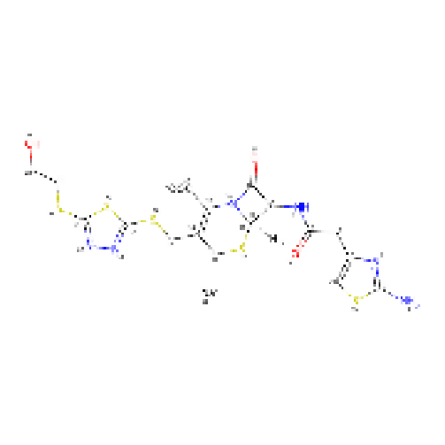 Nc1nc(CC(=O)NC2C(=O)N3C(C(=O)[O-])=C(CSc4nnc(SCCO)s4)CS[C@H]23)cs1.[Na+]